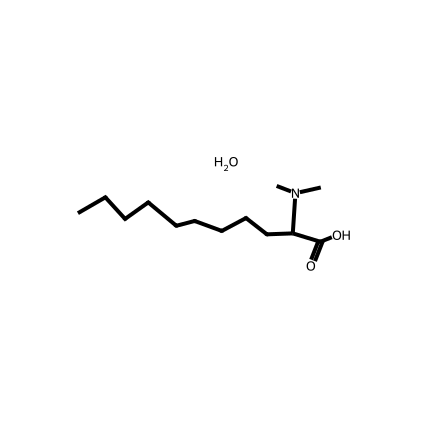 CCCCCCCCCC(C(=O)O)N(C)C.O